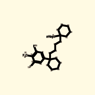 CCCCCCCC1(CCCCC2(c3cc(F)c(C(F)(F)F)c(F)c3)CCCCC2)CCCCC1